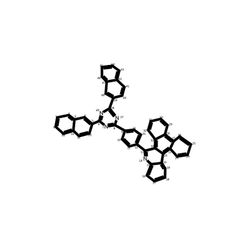 c1ccc2cc(-c3nc(-c4ccc(-c5nc6ccccc6c6c7ccccc7c7ccccc7c56)cc4)nc(-c4ccc5ccccc5c4)n3)ccc2c1